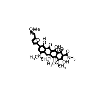 CO/N=C/c1ccc(-c2cc(N(C)C)c3c(c2O)C(=O)C2=C(O)[C@]4(O)C(=O)C(C(N)=O)=C(O)C(N(C)C)[C@@H]4C[C@@H]2C3)o1